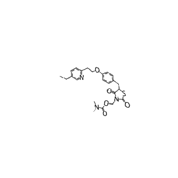 CCc1ccc(CCOc2ccc(CC3SC(=O)N(COC(=O)N(C)C)C3=O)cc2)nc1